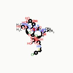 CN[C@H](CC(C)C)C(=O)N[C@H]1C(=O)N[C@@H](CC(N)=O)C(=O)N[C@H]2C(=O)N[C@H]3C(=O)NC(C(=O)N[C@@H](C(=O)O)c4cc(O)cc(O)c4-c4cc3ccc4O)[C@H](O[C@H]3C[C@](C)(N)[C@@H](O)[C@H](C)O3)c3ccc(c(Cl)c3)Oc3cc2cc(c3O[C@@H]2O[C@H](CO)[C@@H](O[C@@H]3OC(CNCc4ccc(-c5ccc(Cl)cc5)s4)=C[C@H](O)[C@H]3O)[C@H](O)[C@H]2O)Oc2ccc(cc2Cl)[C@H]1O